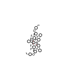 C=Cc1ccc(Oc2ccc(C3(c4c(F)c(F)c(F)c(F)c4F)c4ccccc4-c4ccc(N(c5ccc6c(c5)C(c5ccc(Oc7ccc(C=C)cc7)cc5)(c5c(F)c(F)c(F)c(F)c5F)c5ccccc5-6)c5ccc6c(c5)oc5ccccc56)cc43)cc2)cc1